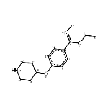 CCO/C(=N\C)c1ccc(OC2CCNCC2)cc1